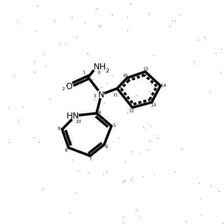 NC(=O)N(C1=CC=CC=CN1)c1ccccc1